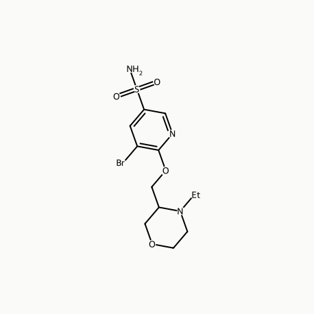 CCN1CCOCC1COc1ncc(S(N)(=O)=O)cc1Br